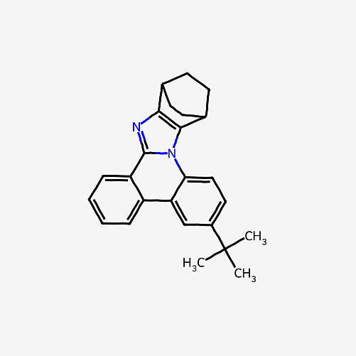 CC(C)(C)c1ccc2c(c1)c1ccccc1c1nc3c(n21)C1CCC3CC1